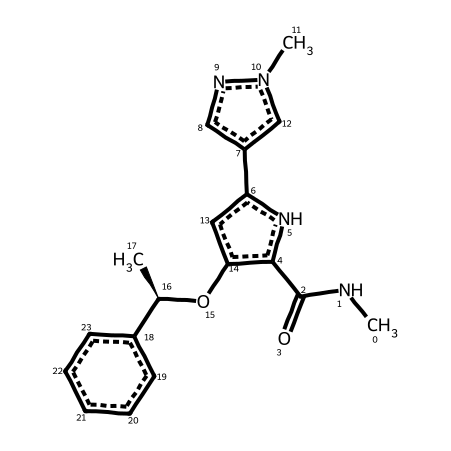 CNC(=O)c1[nH]c(-c2cnn(C)c2)cc1O[C@H](C)c1ccccc1